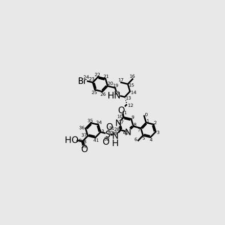 Cc1cccc(C)c1-c1cc(OC[C@@H](CC(C)C)NCc2ccc(Br)cc2)nc(NS(=O)(=O)c2cccc(C(=O)O)c2)n1